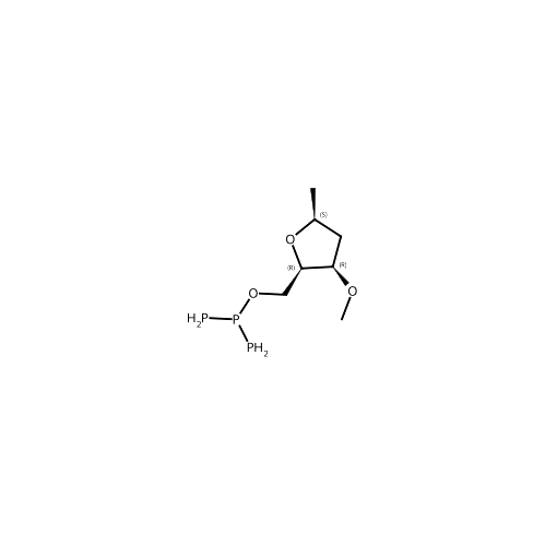 CO[C@@H]1C[C@H](C)O[C@@H]1COP(P)P